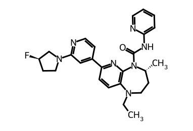 CCN1CC[C@@H](C)N(C(=O)Nc2ccccn2)c2nc(-c3ccnc(N4CC[C@@H](F)C4)c3)ccc21